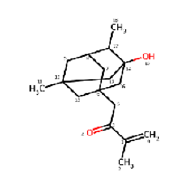 C=C(C)C(=O)CC12CC3CC(C)(C1)CC(O)(C2)C3C